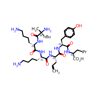 C=CC[C@H](NC(=O)[C@H](CCCCN)NC(=O)[C@H](CCCCN)NC(=O)[C@](C)(N)CCCC)C(=O)N[C@@H](Cc1ccc(O)cc1)C(=O)N[C@@H](CC(C)C)C(=O)O